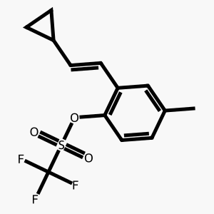 Cc1ccc(OS(=O)(=O)C(F)(F)F)c(/C=C/C2CC2)c1